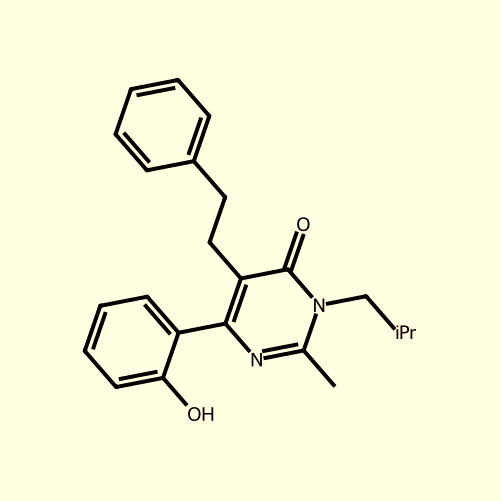 Cc1nc(-c2ccccc2O)c(CCc2ccccc2)c(=O)n1CC(C)C